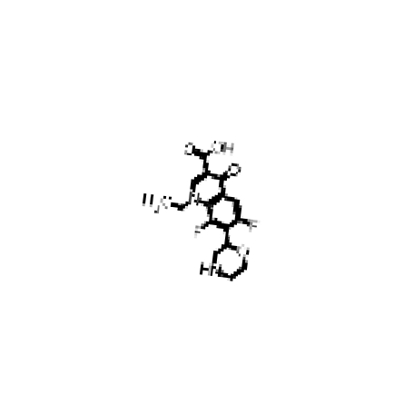 CCn1cc(C(=O)O)c(=O)c2cc(F)c(C3CNCCO3)c(F)c21